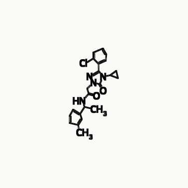 Cc1cccc(C(C)NC(=O)Cn2nc(-c3ccccc3Cl)n(C3CC3)c2=O)c1